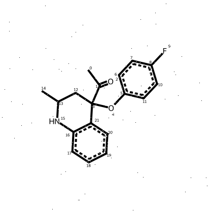 CC(=O)C1(Oc2ccc(F)cc2)CC(C)Nc2ccccc21